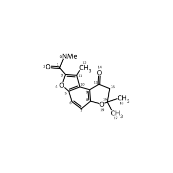 CNC(=O)c1oc2ccc3c(c2c1C)C(=O)CC(C)(C)O3